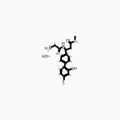 COC(=O)CC(NC(=O)CN)c1ccc(-c2ccc(F)cc2O)cc1.Cl